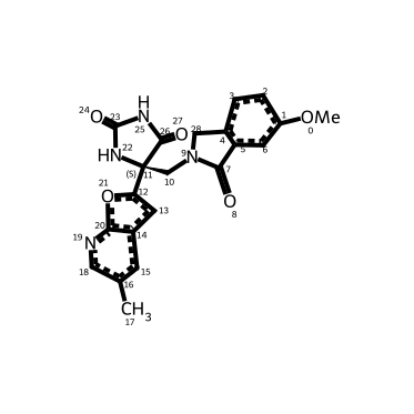 COc1ccc2c(c1)C(=O)N(C[C@@]1(c3cc4cc(C)cnc4o3)NC(=O)NC1=O)C2